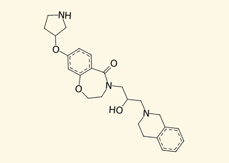 O=C1c2ccc(OC3CCNC3)cc2OCCN1CC(O)CN1CCc2ccccc2C1